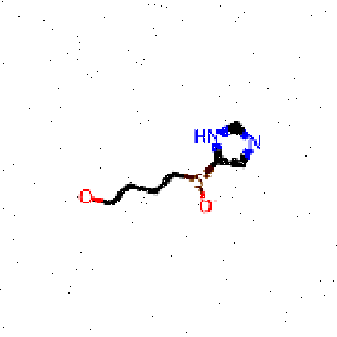 [O]CCCC[S+]([O-])c1cnc[nH]1